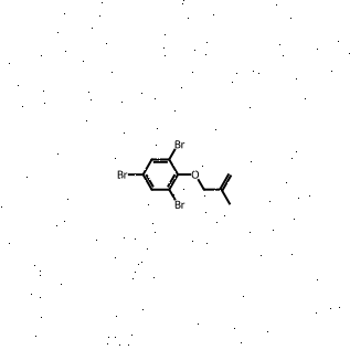 C=C(C)COc1c(Br)cc(Br)cc1Br